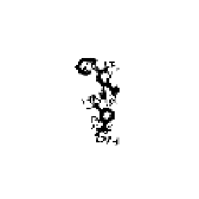 Cc1nnc(N[C@H](C)c2cccc(C(F)(F)CO)c2F)c2cc(N3CC4CCC(C3)O4)c(C(F)(F)F)nc12